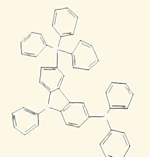 c1ccc(-n2c3ccc(P(c4ccccc4)c4ccccc4)cc3c3cc([Si](c4ccccc4)(c4ccccc4)c4ccccc4)ccc32)cc1